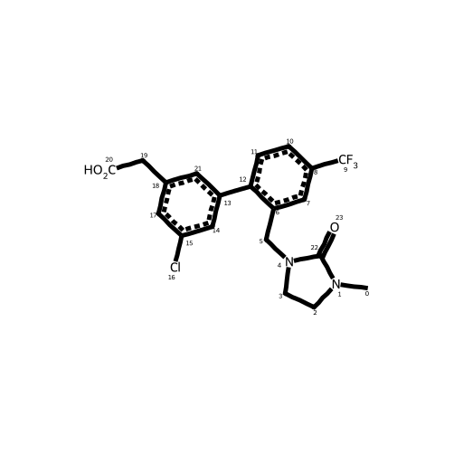 CN1CCN(Cc2cc(C(F)(F)F)ccc2-c2cc(Cl)cc(CC(=O)O)c2)C1=O